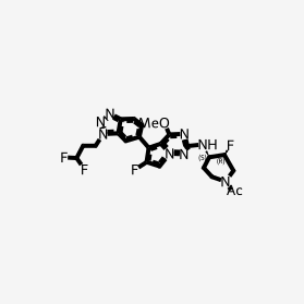 COc1nc(N[C@H]2CCN(C(C)=O)C[C@H]2F)nn2cc(F)c(-c3ccc4nnn(CCC(F)F)c4c3)c12